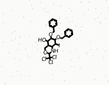 OC1C2COC(C(Cl)(Cl)Cl)NC2C(I)C(OCc2ccccc2)C1OCc1ccccc1